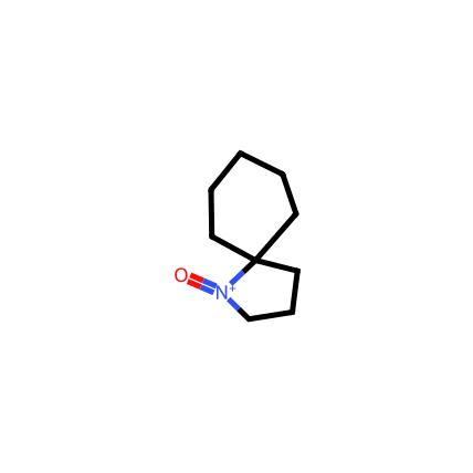 O=[N+]1CCCC12CCCCC2